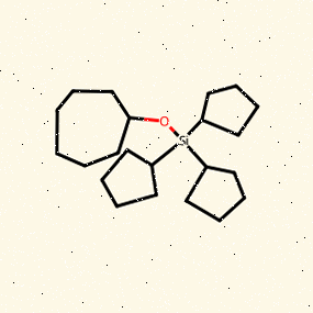 C1CCCC(O[Si](C2CCCC2)(C2CCCC2)C2CCCC2)CC1